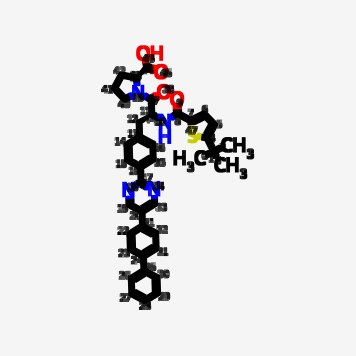 CC(C)(C)c1ccc(C(=O)N[C@@H](Cc2ccc(-c3ncc(-c4ccc(-c5ccccc5)cc4)cn3)cc2)C(=O)N2CCC[C@H]2C(=O)O)s1